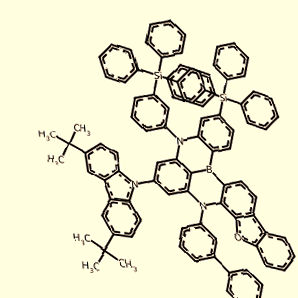 CC(C)(C)c1ccc2c(c1)c1cc(C(C)(C)C)ccc1n2-c1cc2c3c(c1)N(c1cccc(-c4ccccc4)c1)c1c(ccc4c1oc1ccccc14)B3c1ccc([Si](c3ccccc3)(c3ccccc3)c3ccccc3)cc1N2c1cccc([Si](c2ccccc2)(c2ccccc2)c2ccccc2)c1